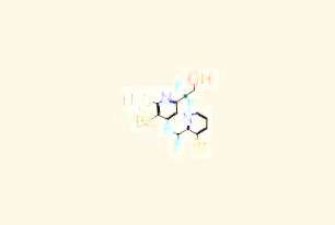 Cc1nc(C(F)(F)CO)ccc1Br.FC(F)c1ncccc1Br